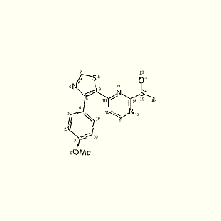 COc1ccc(-c2ncsc2-c2ccnc([S+](C)[O-])n2)cc1